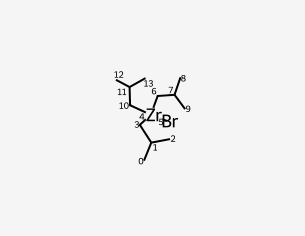 CC(C)[CH2][Zr]([Br])([CH2]C(C)C)[CH2]C(C)C